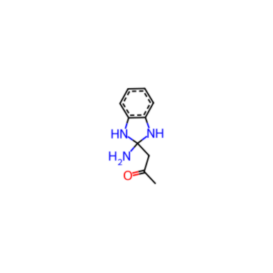 CC(=O)CC1(N)Nc2ccccc2N1